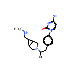 CCC(Cc1ccc(-n2ccc(N)nc2=O)cc1)N1CC2C(CNC(=O)O)C2C1